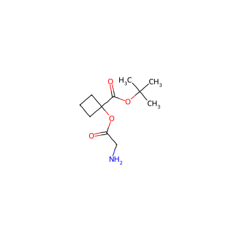 CC(C)(C)OC(=O)C1(OC(=O)CN)CCC1